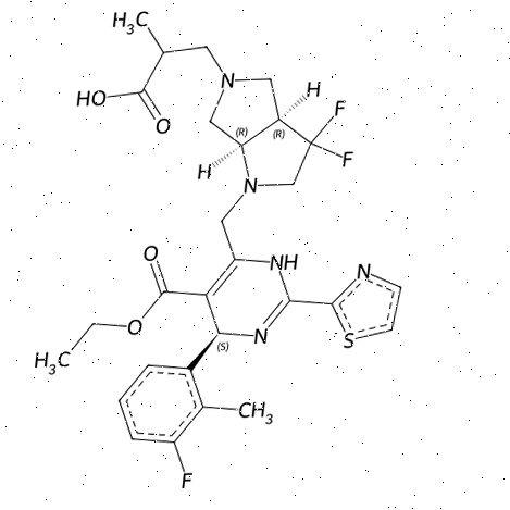 CCOC(=O)C1=C(CN2CC(F)(F)[C@@H]3CN(CC(C)C(=O)O)C[C@@H]32)NC(c2nccs2)=N[C@H]1c1cccc(F)c1C